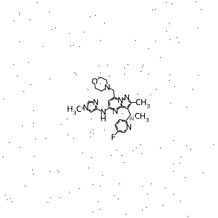 Cc1nn2c(CN3CCOCC3)cc(Nc3cn(C)cn3)nc2c1[C@H](C)c1ccc(F)cn1